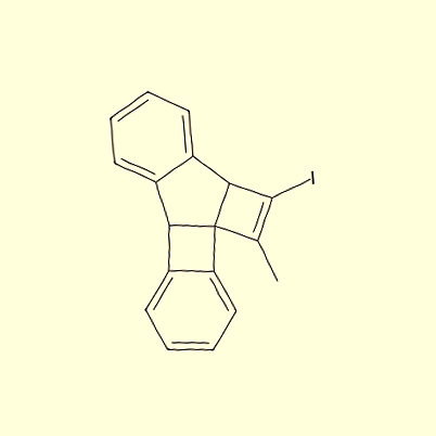 CC1=C(I)C2c3ccccc3C3c4ccccc4C123